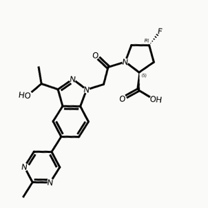 Cc1ncc(-c2ccc3c(c2)c(C(C)O)nn3CC(=O)N2C[C@H](F)C[C@H]2C(=O)O)cn1